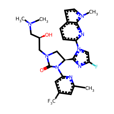 Cc1cc(C(F)(F)F)cc(N2C(=O)N(C[C@H](O)CN(C)C)C[C@H]2c2nc(F)cn2-c2ccc3ccn(C)c3n2)n1